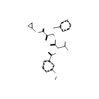 COc1cccc(C(=O)N[C@H](C(=O)N[C@@H](Cc2ccccc2)C(=O)C(=O)NC2CC2)C(C)C)c1